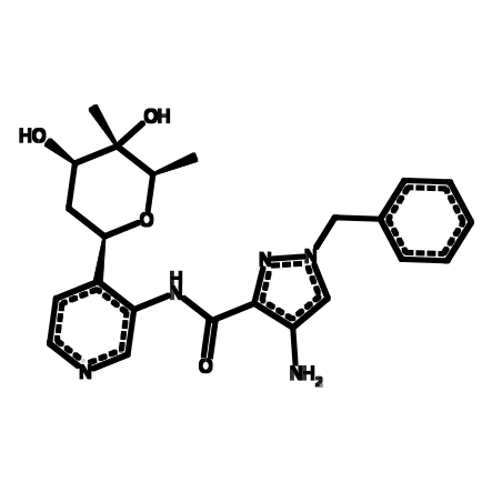 C[C@H]1O[C@@H](c2ccncc2NC(=O)c2nn(Cc3ccccc3)cc2N)C[C@@H](O)[C@]1(C)O